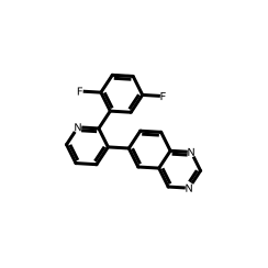 Fc1ccc(F)c(-c2ncccc2-c2ccc3ncncc3c2)c1